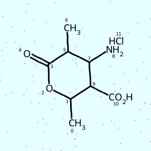 CC1OC(=O)C(C)C(N)C1C(=O)O.Cl